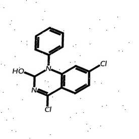 OC1N=C(Cl)c2ccc(Cl)cc2N1c1ccccc1